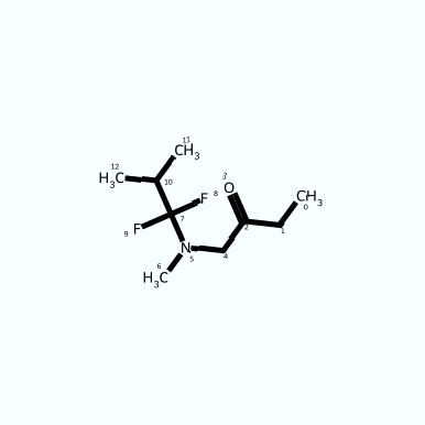 CCC(=O)CN(C)C(F)(F)C(C)C